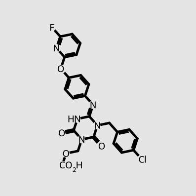 O=C(O)OCn1c(=O)[nH]/c(=N\c2ccc(Oc3cccc(F)n3)cc2)n(Cc2ccc(Cl)cc2)c1=O